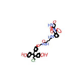 O=C(CCCCCNc1cccc2c1C(=O)N(C1CCC(=O)NC1=O)C2=O)NCCOc1ccc(C(=C(CCCl)c2ccc(O)cc2)c2ccc(O)cc2)cc1